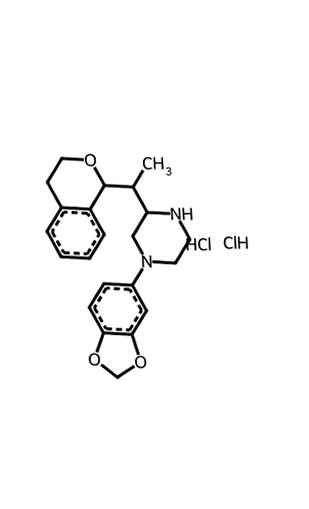 CC(C1CN(c2ccc3c(c2)OCO3)CCN1)C1OCCc2ccccc21.Cl.Cl